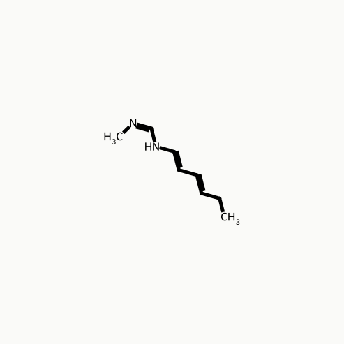 CC/C=C/C=C/N/C=N\C